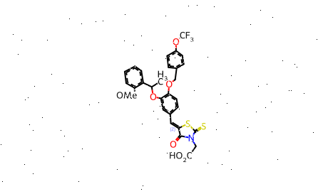 COc1ccccc1C(C)Oc1cc(/C=C2\SC(=S)N(CC(=O)O)C2=O)ccc1OCc1ccc(OC(F)(F)F)cc1